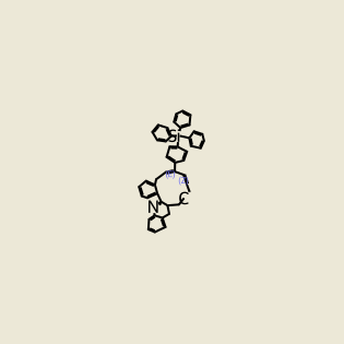 C1=C\C(c2ccc([Si](c3ccccc3)(c3ccccc3)c3ccccc3)cc2)=C/Cc2ccccc2C2=Nc3ccccc3CC2CCC/1